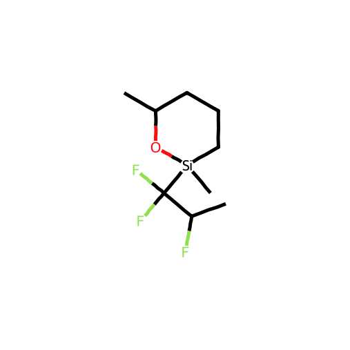 CC1CCC[Si](C)(C(F)(F)C(C)F)O1